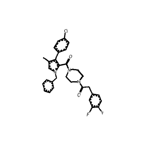 Cc1cn(Cc2ccccc2)c(C(=O)N2CCN(C(=O)Cc3ccc(F)c(F)c3)CC2)c1-c1ccc(Cl)cc1